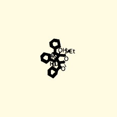 CCS[C@@H]1O[C@H](C)[C@](O)(C(=O)c2ccccc2)[C@@](O)(C(=O)c2ccccc2)[C@]1(O)C(=O)c1ccccc1